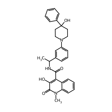 CC(NC(=O)c1c(O)c(=O)n(C)c2ccccc12)c1cccc(N2CCC(O)(c3ccccc3)CC2)c1